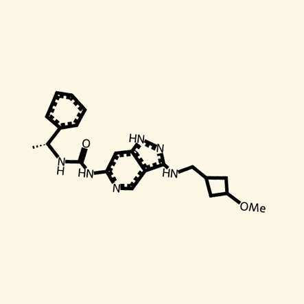 COC1CC(CNc2n[nH]c3cc(NC(=O)N[C@H](C)c4ccccc4)ncc23)C1